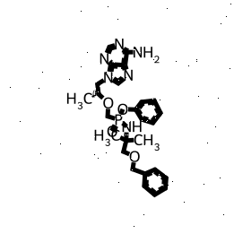 C[C@H](Cn1cnc2c(N)ncnc21)OCP(=O)(NC(C)(C)COCc1ccccc1)Oc1ccccc1